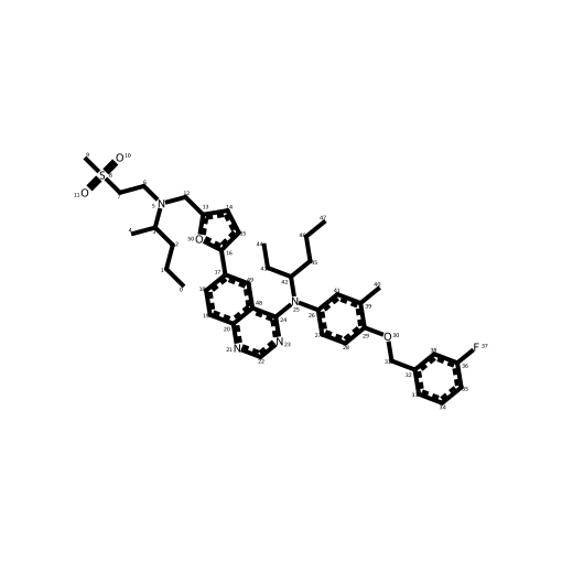 CCCC(C)N(CCS(C)(=O)=O)Cc1ccc(-c2ccc3ncnc(N(c4ccc(OCc5cccc(F)c5)c(C)c4)C(CC)CCC)c3c2)o1